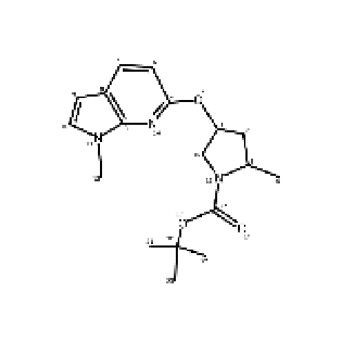 CC1CC(Oc2ccc3ccn(C)c3n2)CN1C(=O)OC(C)(C)C